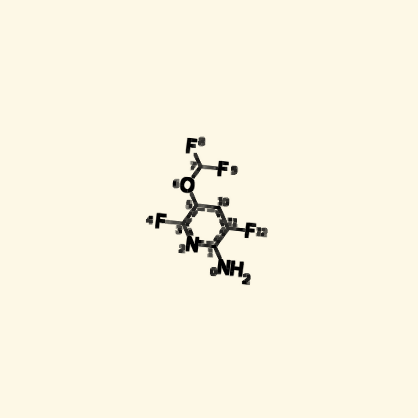 Nc1nc(F)c(OC(F)F)cc1F